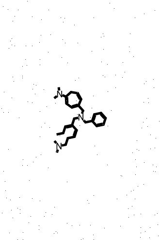 CC/C=C(\C=C/CCN(C)C)CN(CC1=CC=C(N(C)C)CC=C1)Cc1ccccc1